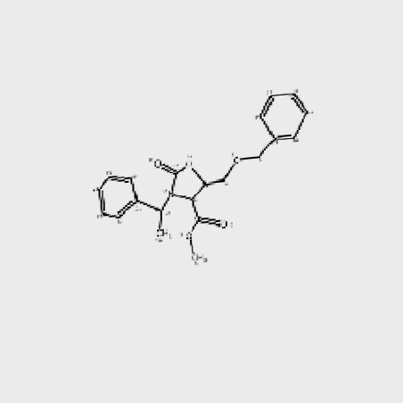 COC(=O)C1C(COCc2ccccc2)OC(=O)N1C(C)c1ccccc1